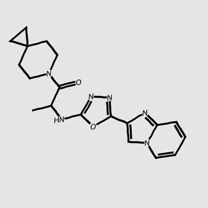 CC(Nc1nnc(-c2cn3ccccc3n2)o1)C(=O)N1CCC2(CC1)CC2